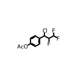 CC(=O)Oc1ccc(C(Cl)C(F)C(F)F)cc1